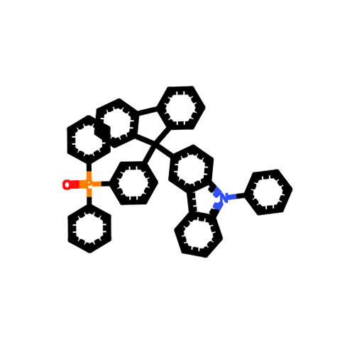 O=P(c1ccccc1)(c1ccccc1)c1cccc(C2(c3ccc4c(c3)c3ccccc3n4-c3ccccc3)c3ccccc3-c3ccccc32)c1